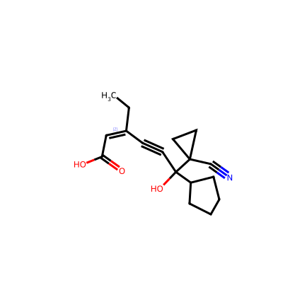 CC/C(C#CC(O)(C1CCCC1)C1(C#N)CC1)=C/C(=O)O